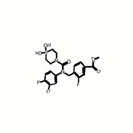 COC(=O)c1ccc(CN(C(=O)N2CCS(O)(O)CC2)c2ccc(F)c(Cl)c2)c(F)c1